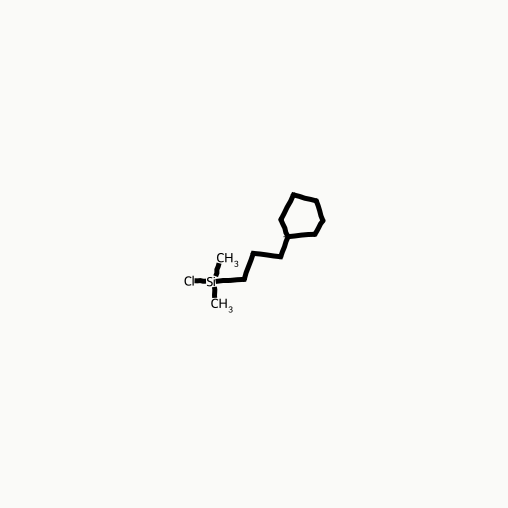 C[Si](C)(Cl)CCC[C]1CCCCC1